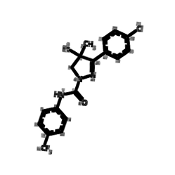 CCC1(C)CN(C(=O)Nc2ccc(C(F)(F)F)cc2)N=C1c1ccc(Cl)cc1